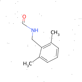 Cc1cccc(C)c1CNC=O